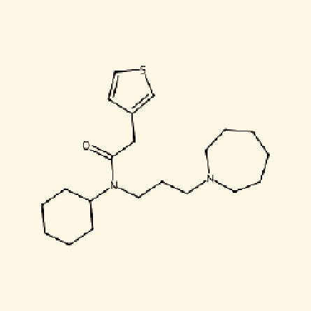 O=C(Cc1ccsc1)N(CCCN1CCCCCC1)C1CCCCC1